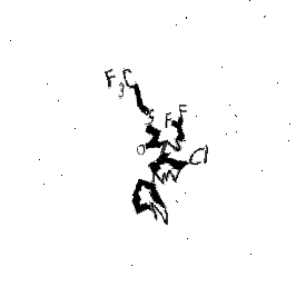 O=C(CCSCCC(F)(F)F)N(CC(F)F)c1cn(-c2cccnc2)nc1Cl